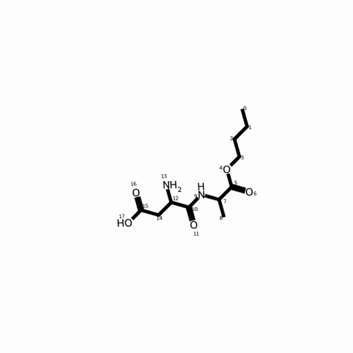 CCCCOC(=O)C(C)NC(=O)C(N)CC(=O)O